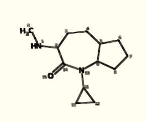 CNC1CCC2CCCC2N(C2CC2)C1=O